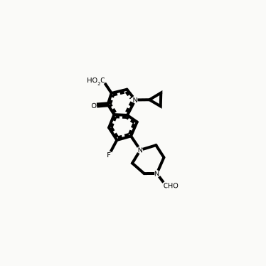 O=CN1CCN(c2cc3c(cc2F)c(=O)c(C(=O)O)cn3C2CC2)CC1